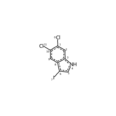 Clc1cc2[nH]cc(I)c2cc1Cl